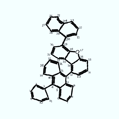 c1ccc(-c2c3ccccc3c(-c3cccc4oc5c(-c6cccc7ccccc67)cccc5c34)c3ccccc23)cc1